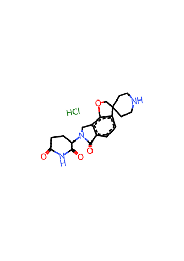 Cl.O=C1CCC(N2Cc3c(ccc4c3OCC43CCNCC3)C2=O)C(=O)N1